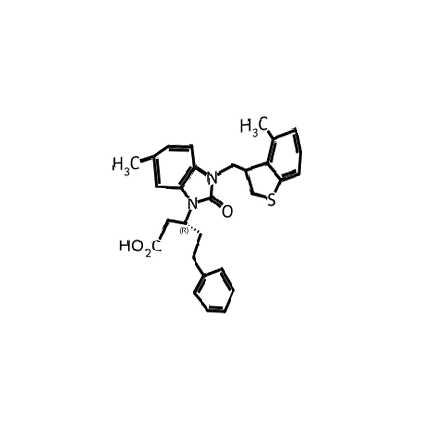 Cc1ccc2c(c1)n([C@H](CCc1ccccc1)CC(=O)O)c(=O)n2CC1CSc2cccc(C)c21